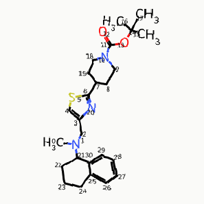 CN(Cc1csc(C2CCN(C(=O)OC(C)(C)C)CC2)n1)C1CCCc2ccccc21